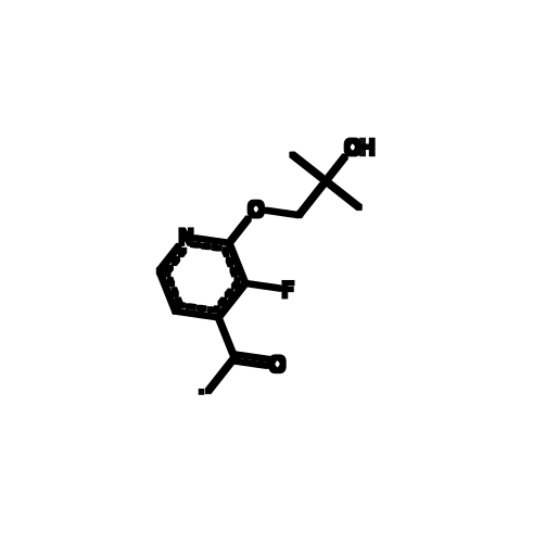 [CH2]C(=O)c1ccnc(OCC(C)(C)O)c1F